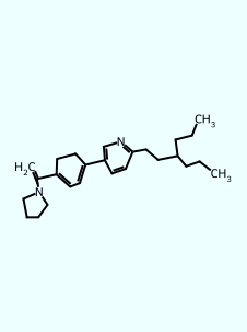 C=C(C1=CC=C(c2ccc(CCC(CCC)CCC)nc2)CC1)N1CCCC1